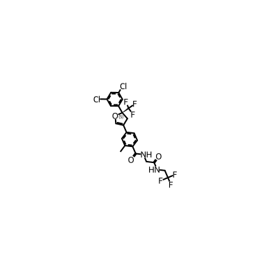 Cc1cc(C2=CO[C@@](c3cc(Cl)cc(Cl)c3)(C(F)(F)F)C2)ccc1C(=O)NCC(=O)NCC(F)(F)F